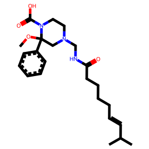 COC1(c2ccccc2)CN(CNC(=O)CCCCC=CC(C)C)CCN1C(=O)O